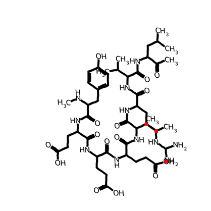 CCC(C)C(NC(=O)C(CCC(=O)O)NC(=O)C(CCC(=O)O)NC(=O)C(CCC(=O)O)NC(=O)C(Cc1ccc(O)cc1)NC)C(=O)NC(CCCNC(N)N)C(=O)NC(C(=O)NC(CC(C)C)C(C)=O)C(C)C